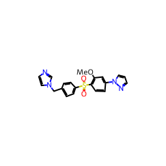 COc1cc(-n2cccn2)ccc1S(=O)(=O)c1ccc(Cn2ccnc2)cc1